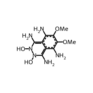 COc1c(OC)c(N)c2c(c1N)=C(N)N(O)N(O)C=2N